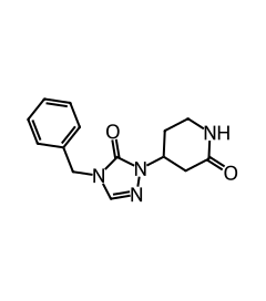 O=C1CC(n2ncn(Cc3ccccc3)c2=O)CCN1